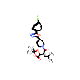 CC(C)C[C@H](C(=O)N1CCC(c2nnc(-c3ccc(F)cc3)o2)CC1)[C@@H]1OC(C)(C)OC1=O